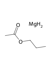 CCCOC(C)=O.[MgH2]